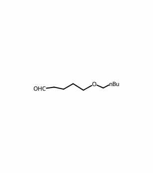 CCCCCOCCCCC=O